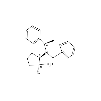 CC[C@]1(C(=O)O)CCC[C@H]1N(Cc1ccccc1)[C@H](C)c1ccccc1